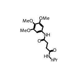 CCCNC(=O)CCC(=O)Nc1cc(OC)c(OC)c(OC)c1